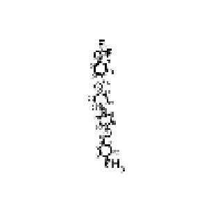 Cc1ccc(COC2CCN(N3CCC(OCc4ccc(OC(F)F)cc4)CC3)CC2)cc1